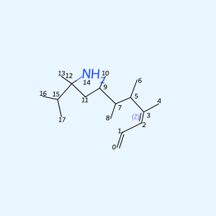 C=C/C=C(/C)C(C)C(C)C(C)CC(C)(N)C(C)C